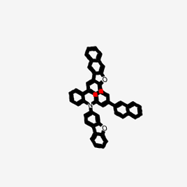 c1cc(-c2ccc3ccccc3c2)cc(N(c2ccc3c(c2)oc2ccccc23)c2ccccc2-c2ccc3oc4cc5ccccc5cc4c3c2)c1